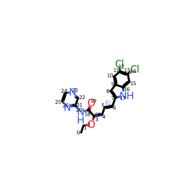 CCO/C(=C/C=C/c1cc2cc(Cl)c(Cl)cc2[nH]1)C(=O)Nc1cnccn1